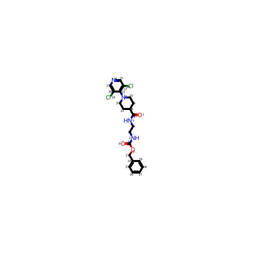 O=C(NCCNC(=O)C1CCN(c2c(Cl)cncc2Cl)CC1)OCc1ccccc1